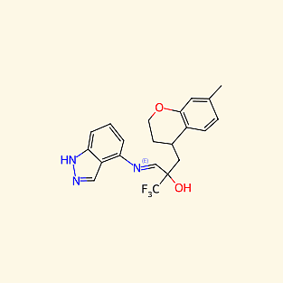 Cc1ccc2c(c1)OCCC2CC(O)(/C=N/c1cccc2[nH]ncc12)C(F)(F)F